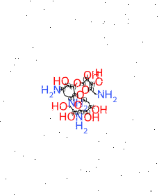 NC[C@H]1O[C@@H](O[C@@H]2[C@@H](O)[C@H](N)C[C@H](N)[C@H]2O[C@@H]2C[C@@H](O)[C@H](O)[C@@](N)([C@H](O)CO)O2)[C@@H](O)[C@H]1O